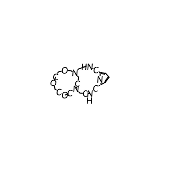 c1cc2nc(c1)CNCCN1CCN(CCNC2)COCCOCCOC1